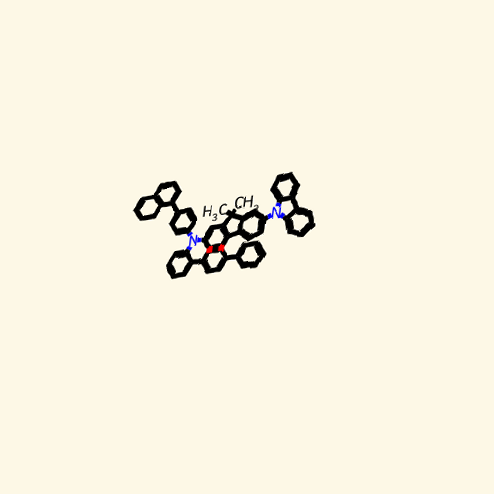 CC1(C)c2cc(N(c3ccc(-c4cccc5c4CCC=C5)cc3)c3ccccc3-c3ccc(-c4ccccc4)cc3)ccc2-c2ccc(-n3c4ccccc4c4ccccc43)cc21